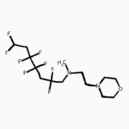 CN(CCN1CCOCC1)CC(F)(F)CC(F)(F)C(F)(F)CC(F)F